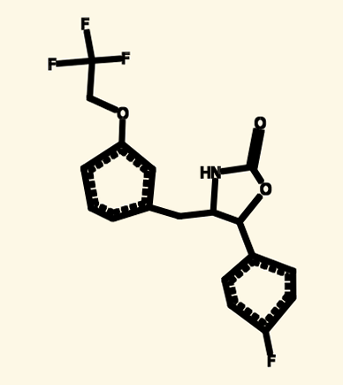 O=C1NC(Cc2cccc(OCC(F)(F)F)c2)C(c2ccc(F)cc2)O1